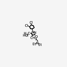 CCN(CC)CCOc1nn(-c2ccc(Cl)c(Cl)c2)c(C)c1C.Cl